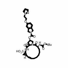 CC(C)(C)OC(=O)N[C@H]1CCCCC/C=C\[C@@H]2C[C@@]2(C(=O)O)NC(=O)[C@@H]2C[C@@H](OC(=O)N3Cc4ccc(OCCn5cccn5)cc4C3)CN2C1=O